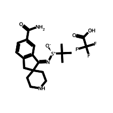 CC(C)(C)[S@@+]([O-])N=C1c2cc(C(N)=O)ccc2CC12CCNCC2.O=C(O)C(F)(F)F